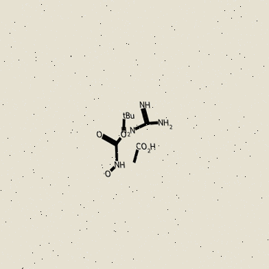 CC(=O)O.CC(C)(C)OC(=O)N[O].N=C(N)N